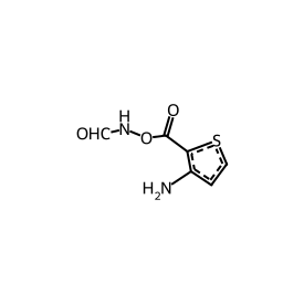 Nc1ccsc1C(=O)ONC=O